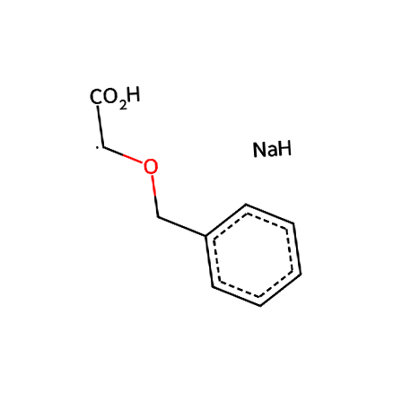 O=C(O)[CH]OCc1ccccc1.[NaH]